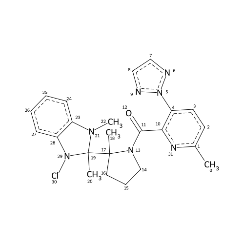 Cc1ccc(-n2nccn2)c(C(=O)N2CCCC2(C)C2(C)N(C)c3ccccc3N2Cl)n1